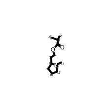 CC(I)C(=O)OCCC1CCCN1C